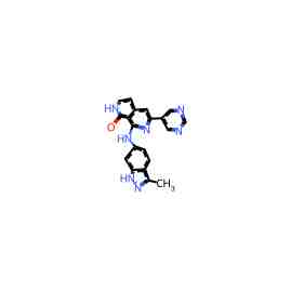 Cc1n[nH]c2cc(Nc3nc(-c4cncnc4)cc4cc[nH]c(=O)c34)ccc12